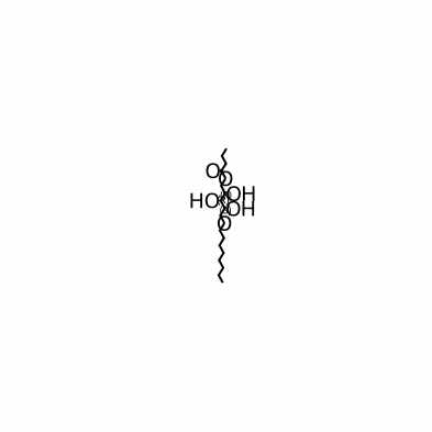 CCCCCCCCOC[C@H](O)[C@@H](O)[C@H](O)COC(=O)CCC